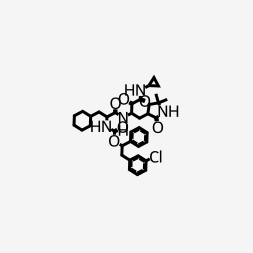 CC1(C)CC(CC(NC(=O)C(CC2CCCCC2)NC(=O)OC(Cc2cccc(Cl)c2)c2ccccc2)C(=O)C(=O)NC2CC2)C(=O)N1